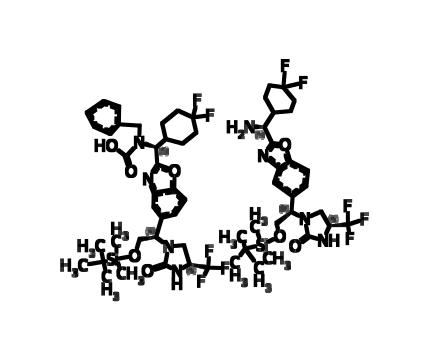 CC(C)(C)[Si](C)(C)OC[C@@H](c1ccc2oc([C@@H](N)C3CCC(F)(F)CC3)nc2c1)N1C[C@@H](C(F)(F)F)NC1=O.CC(C)(C)[Si](C)(C)OC[C@@H](c1ccc2oc([C@H](C3CCC(F)(F)CC3)N(Cc3ccccc3)C(=O)O)nc2c1)N1C[C@@H](C(F)(F)F)NC1=O